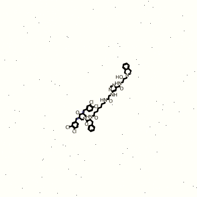 O=C(CNc1cc(C(=O)NCC(O)CN2CCc3ccccc3C2)ncn1)NCCCCCCC(=O)NC(Cc1ccccc1)C(=O)N1C/C(=C\c2ccc(Cl)c(Cl)c2)C(=O)/C(=C/c2ccc(Cl)c(Cl)c2)C1